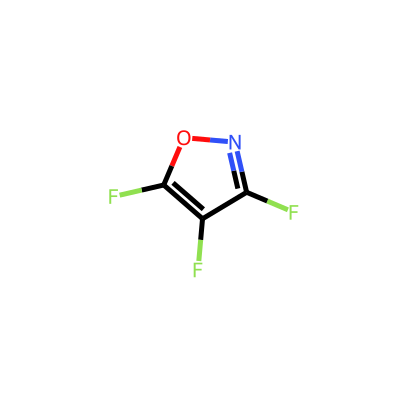 Fc1noc(F)c1F